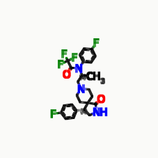 C[C@@H](CN1CCC2(CC1)C(=O)NC[C@@H]2c1ccc(F)cc1)N(C(=O)C(F)(F)F)c1ccc(F)cc1